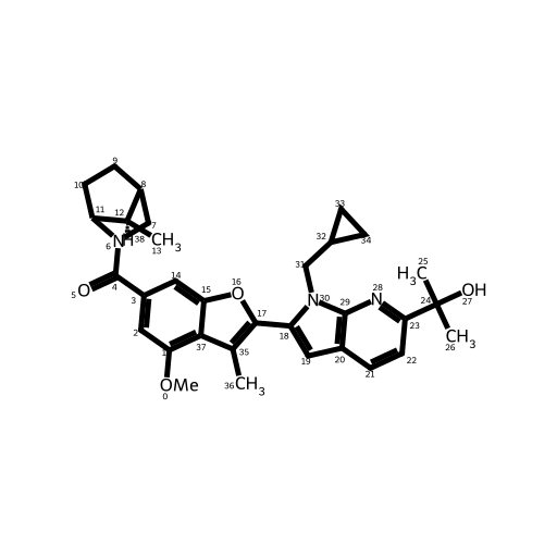 COc1cc(C(=O)N2CC3CCC2[C@@H]3C)cc2oc(-c3cc4ccc(C(C)(C)O)nc4n3CC3CC3)c(C)c12